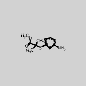 COC(=O)C(C)(C)Sc1cccc(N)c1